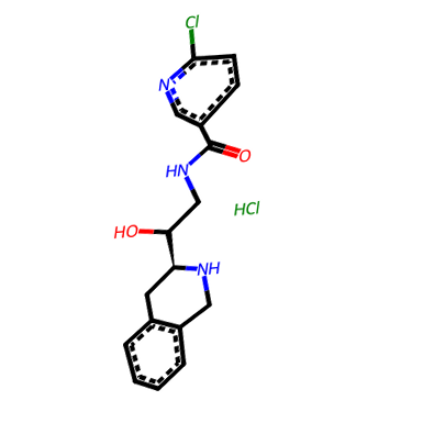 Cl.O=C(NCC(O)[C@@H]1Cc2ccccc2CN1)c1ccc(Cl)nc1